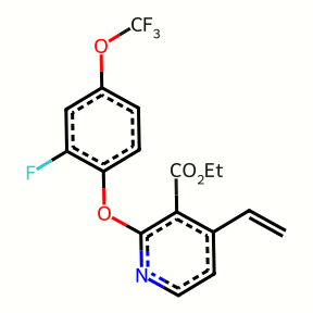 C=Cc1ccnc(Oc2ccc(OC(F)(F)F)cc2F)c1C(=O)OCC